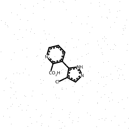 O=C(O)c1ncccc1-c1[nH]ncc1Cl